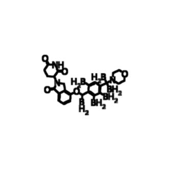 Bc1cc(C(B)(B)N2CCOCC2)c(B)c(B)c1C(B)Oc1cccc2c1CN(C1CCC(=O)NC1=O)C2=O